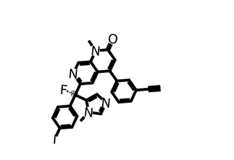 C#Cc1cccc(-c2cc(=O)n(C)c3cnc([C@](F)(c4ccc(I)cc4)c4cncn4C)cc23)c1